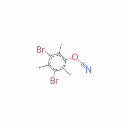 Cc1c(Br)c(C)c(OC#N)c(C)c1Br